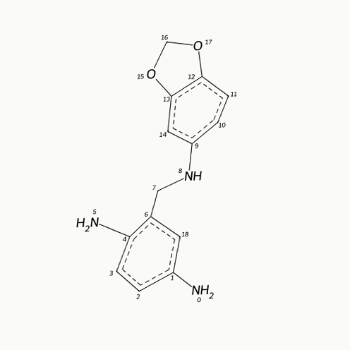 Nc1ccc(N)c(CNc2ccc3c(c2)OCO3)c1